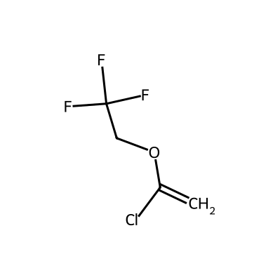 C=C(Cl)OCC(F)(F)F